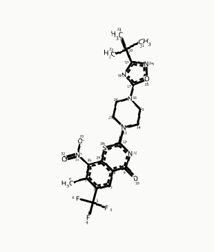 Cc1c(C(F)(F)F)cc2c(=O)nc(N3CCN(c4nc(C(C)(C)C)no4)CC3)sc2c1[N+](=O)[O-]